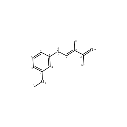 COc1cccc(N/C=C(\C)C(C)=O)c1